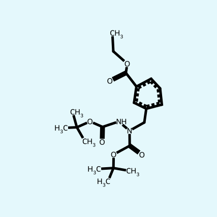 CCOC(=O)c1cccc(CN(NC(=O)OC(C)(C)C)C(=O)OC(C)(C)C)c1